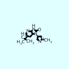 Cn1cc(-n2c(=O)[nH]c3ncc(C(C)(C)C)cc32)cn1